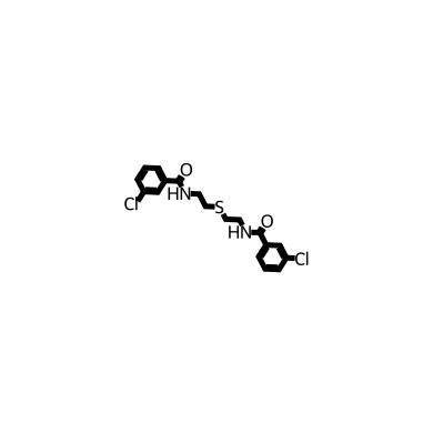 O=C(NCCSCCNC(=O)c1cccc(Cl)c1)c1cccc(Cl)c1